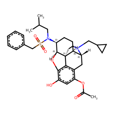 CC(=O)Oc1cc(O)c2c3c1C[C@@H]1[C@@H]4CC[C@H](N(CC(C)C)S(=O)(=O)Cc5ccccc5)[C@H](O2)[C@]34CCN1CC1CC1